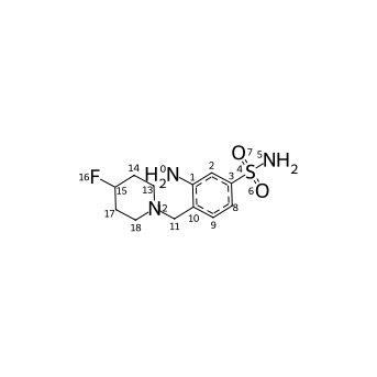 Nc1cc(S(N)(=O)=O)ccc1CN1CCC(F)CC1